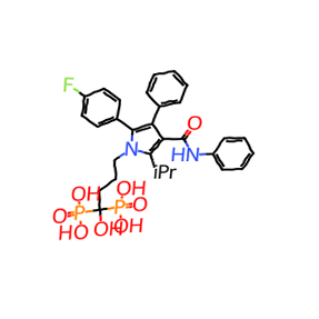 CC(C)c1c(C(=O)Nc2ccccc2)c(-c2ccccc2)c(-c2ccc(F)cc2)n1CCCC(O)(P(=O)(O)O)P(=O)(O)O